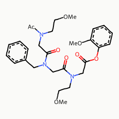 COCCN(CC(=O)N(CC(=O)N(CCOC)CC(=O)Oc1ccccc1OC)Cc1ccccc1)C(C)=O